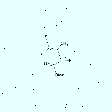 COC(=O)C(F)C(C)C(F)F